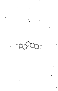 Cc1ccc2cc3c(ccc4c5cc(C)sc5ccc34)cc2c1